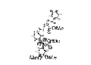 COC(=O)C(CCCc1cccc(S(=O)(=O)N(C(=O)OC(C)(C)C)c2ccc(OC)c(OC)c2)c1)CCc1ccccc1